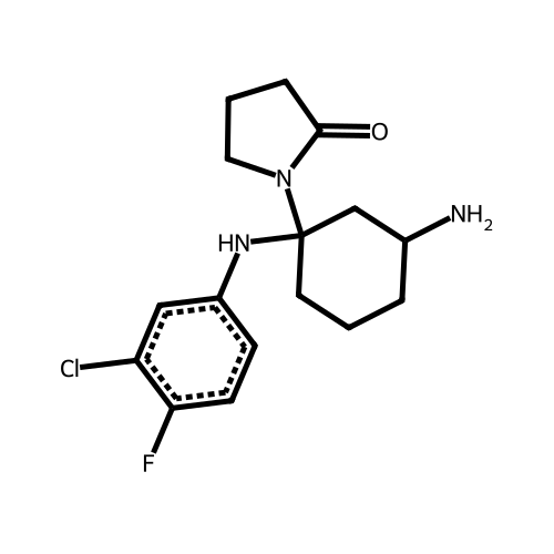 NC1CCCC(Nc2ccc(F)c(Cl)c2)(N2CCCC2=O)C1